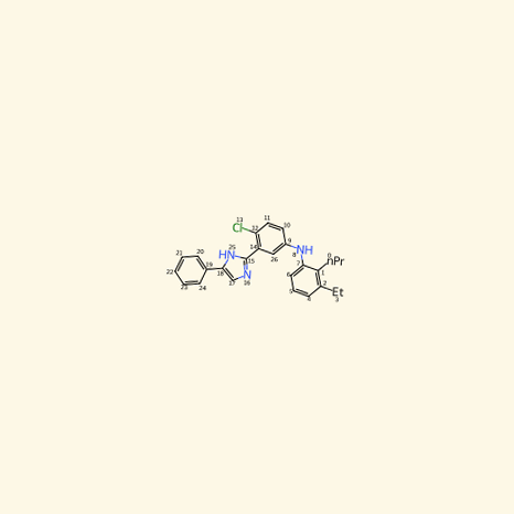 CCCc1c(CC)cccc1Nc1ccc(Cl)c(-c2ncc(-c3ccccc3)[nH]2)c1